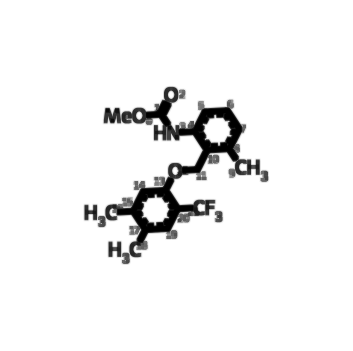 COC(=O)Nc1cccc(C)c1COc1cc(C)c(C)cc1C(F)(F)F